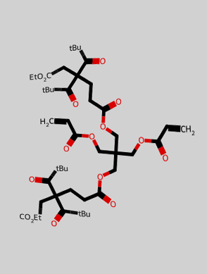 C=CC(=O)OCC(COC(=O)C=C)(COC(=O)CCC(CC(=O)OCC)(C(=O)C(C)(C)C)C(=O)C(C)(C)C)COC(=O)CCC(CC(=O)OCC)(C(=O)C(C)(C)C)C(=O)C(C)(C)C